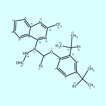 CCC(Oc1ccc(C(C)(C)CC)cc1C(C)(C)CC)N(NC=O)c1nc(C(F)(F)F)nc2ccccc12